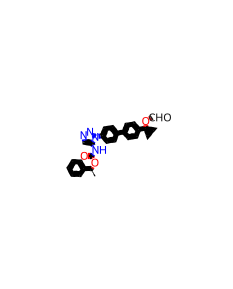 C[C@@H](OC(=O)Nc1cnnn1-c1ccc(-c2ccc(C3(OC=O)CC3)cc2)cc1)c1ccccc1